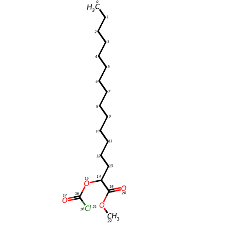 CCCCCCCCCCCCCCC(OC(=O)Cl)C(=O)OC